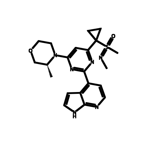 CN=S(C)(=O)C1(c2cc(N3CCOC[C@H]3C)nc(-c3ccnc4[nH]ccc34)n2)CC1